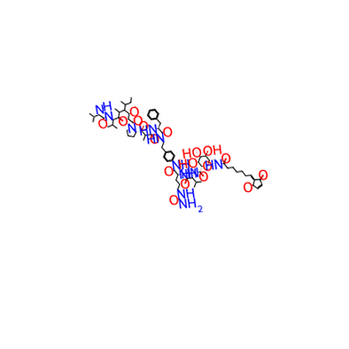 CCC(C)C(C(CC(=O)N1CCC[C@H]1C(OC)C(C)C(=O)N[C@@H](Cc1ccccc1)C(=O)NCCc1ccc(NC(=O)C(CCCNC(N)=O)NC(=O)[C@H](NC(=O)[C@H]2O[C@@H](CNC(=O)CCCCCC=C3C(=O)C=CC3=O)C(O)[C@@H](O)C2O)C(C)C)cc1)OC)C(C)C(=O)[C@@H](NC(=O)C(C(C)C)N(C)C)C(C)C